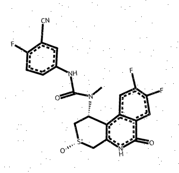 CN(C(=O)Nc1ccc(F)c(C#N)c1)[C@H]1C[S@@+]([O-])Cc2[nH]c(=O)c3cc(F)c(F)cc3c21